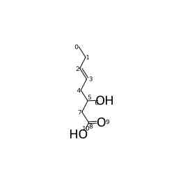 CCC=CCC(O)CC(=O)O